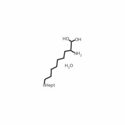 CCCCCCCCCCCCCCC(N)C(O)O.O